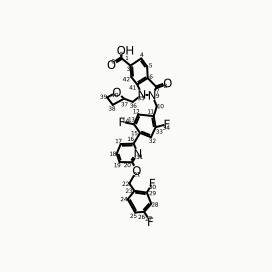 O=C(O)c1ccc2c(=O)n(Cc3cc(F)c(-c4cccc(OCc5ccc(F)cc5F)n4)cc3F)n(CC3CCO3)c2c1